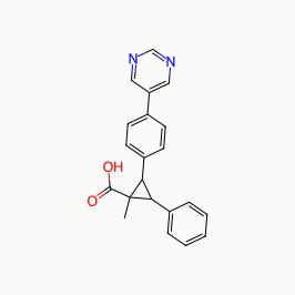 CC1(C(=O)O)C(c2ccccc2)C1c1ccc(-c2cncnc2)cc1